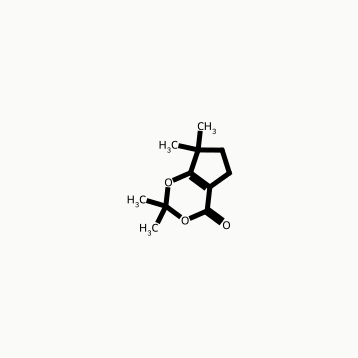 CC1(C)OC(=O)C2=C(O1)C(C)(C)CC2